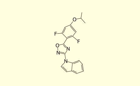 CC(C)Oc1cc(F)c(-c2nc(-n3ccc4ccccc43)no2)c(F)c1